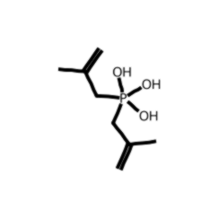 C=C(C)CP(O)(O)(O)CC(=C)C